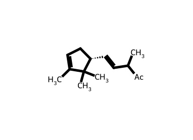 CC(=O)C(C)/C=C/[C@H]1CC=C(C)C1(C)C